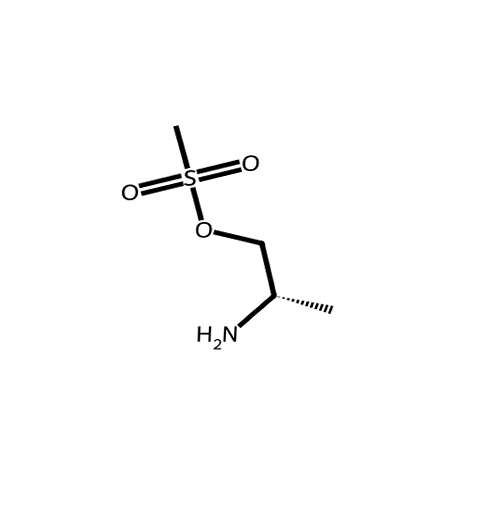 C[C@H](N)COS(C)(=O)=O